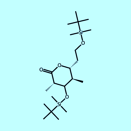 C[C@@H]1C(=O)O[C@H](CCO[Si](C)(C)C(C)(C)C)[C@@H](C)C1O[Si](C)(C)C(C)(C)C